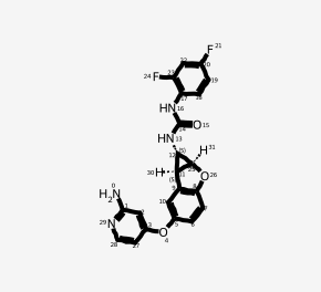 Nc1cc(Oc2ccc3c(c2)[C@H]2[C@H](NC(=O)Nc4ccc(F)cc4F)[C@H]2O3)ccn1